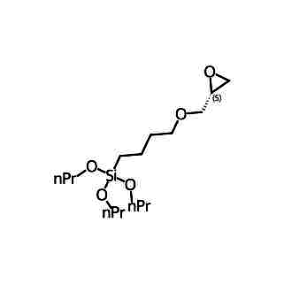 CCCO[Si](CCCCOC[C@H]1CO1)(OCCC)OCCC